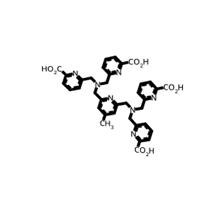 Cc1cc(CN(Cc2cccc(C(=O)O)n2)Cc2cccc(C(=O)O)n2)nc(CN(Cc2cccc(C(=O)O)n2)Cc2cccc(C(=O)O)n2)c1